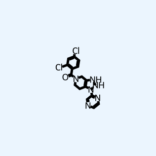 O=C(c1ccc(Cl)cc1Cl)N1CCC2=C(C1)NNN2c1cnccn1